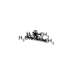 CCCCCC(C(N)=O)N(C)CCC.CCCCCCCCCCCCCCCCCCCC